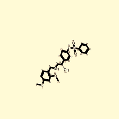 COc1ccc(CNC[C@@H](O)c2ccc(OS(=O)(=O)c3ccccc3)cc2)c(OC)c1